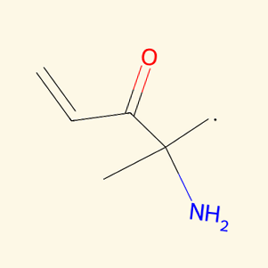 [CH2]C(C)(N)C(=O)C=C